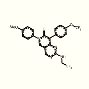 COc1ccc(-n2cc3cnc(NCC(F)(F)F)nc3c(-c3ccc(OC(F)(F)F)cc3)c2=O)cc1